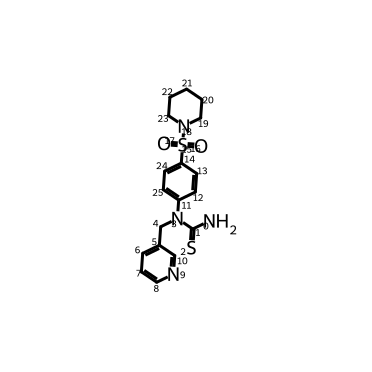 NC(=S)N(Cc1cccnc1)c1ccc(S(=O)(=O)N2CCCCC2)cc1